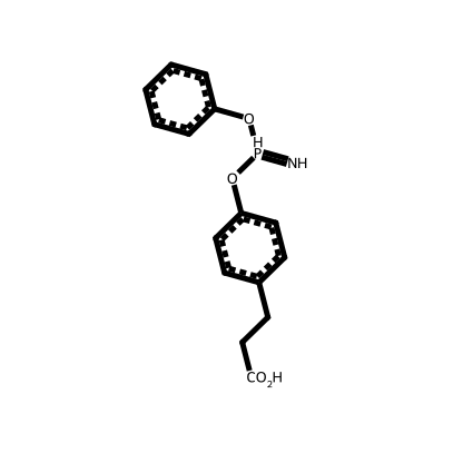 N=[PH](Oc1ccccc1)Oc1ccc(CCC(=O)O)cc1